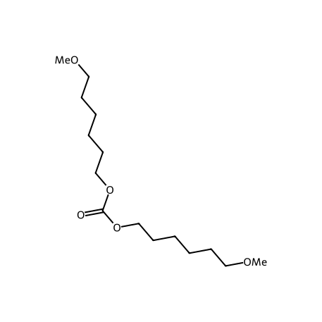 COCCCCCCOC(=O)OCCCCCCOC